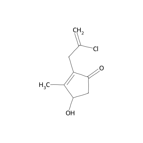 C=C(Cl)CC1=C(C)C(O)CC1=O